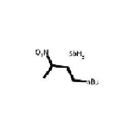 CCCCCCC(C)[N+](=O)[O-].[SbH3]